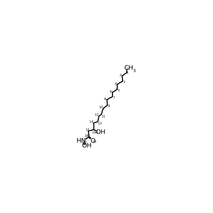 CCCCCCCCCCCCCCCC(O)CC(=O)NO